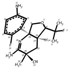 CC(C)(F)C1OC[C@]2(c3cc(N)ccc3F)N=C(N)[C@](C)(C#N)C[C@H]12